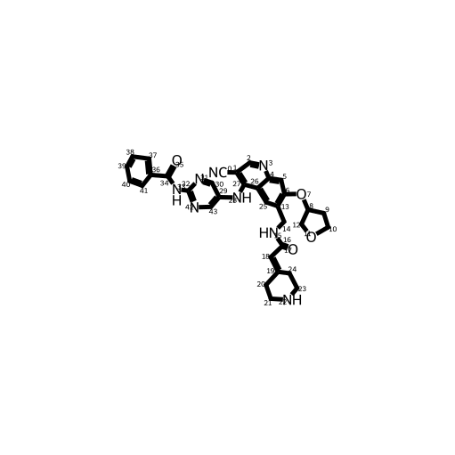 N#Cc1cnc2cc(OC3CCOC3)c(CNC(=O)C=C3CCNCC3)cc2c1Nc1cnc(NC(=O)c2ccccc2)nc1